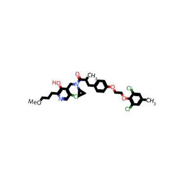 COCCCc1ncc(Cl)c(CN(C(=O)C(C)Cc2ccc(OCCOc3c(Cl)cc(C)cc3Cl)cc2)C2CC2)c1O